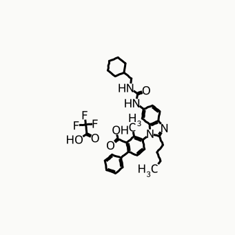 CCCCc1nc2ccc(NC(=O)NCC3CCCCC3)cc2n1-c1ccc(-c2ccccc2)c(C(=O)O)c1C.O=C(O)C(F)(F)F